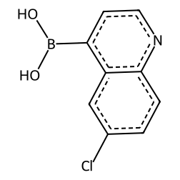 OB(O)c1ccnc2ccc(Cl)cc12